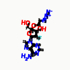 [N-]=[N+]=NCCO[C@]1(CO)O[C@@H](n2cnc3c(N)ncnc32)[C@@H](F)[C@@H]1O